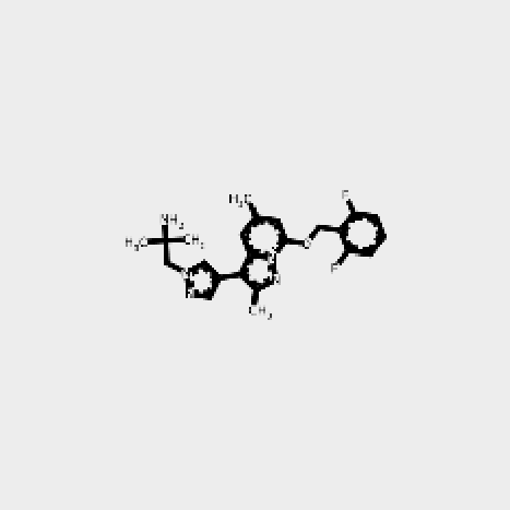 Cc1cc(OCc2c(F)cccc2F)n2nc(C)c(-c3cnn(CC(C)(C)N)c3)c2c1